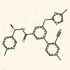 Cc1ccc(-c2cc(Oc3nc(C)cs3)cc(C(=O)N[C@H](C)c3ccc(C)nc3)c2)c(C#N)c1